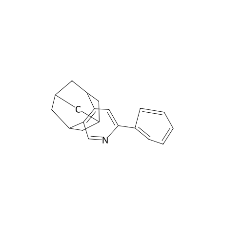 c1ccc(-c2cc3c(cn2)C2CC4CC(C2)CC3C4)cc1